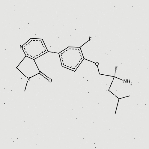 CC(C)C[C@](C)(N)COc1ccc(-c2ccnc3c2C(=O)N(C)C3)cc1F